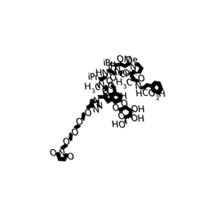 CCC(C)[C@@H]([C@@H](CC(=O)N1CCC[C@H]1[C@H](OC)[C@@H](C)C(=O)NC(Cc1ccccc1)C(=O)O)OC)N(C)C(=O)[C@@H](NC(=O)[C@H](C(C)C)N(C)C(=O)OCc1ccc(O[C@@H]2O[C@H](CO)[C@H](O)[C@H](O)[C@H]2O)c2cc(Cn3cc(COCCOCCOCCOCCN4C(=O)C=CC4=O)nn3)oc12)C(C)C